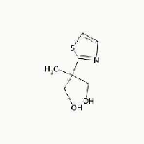 CC(CO)(CO)c1nccs1